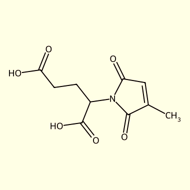 CC1=CC(=O)N(C(CCC(=O)O)C(=O)O)C1=O